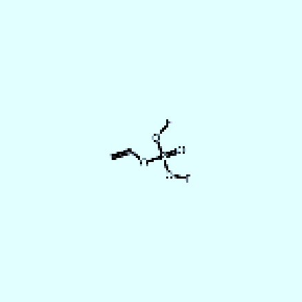 C=COP(=O)(OF)OF